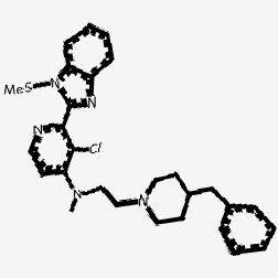 CSn1c(-c2nccc(N(C)CCN3CCC(Cc4ccccc4)CC3)c2Cl)nc2ccccc21